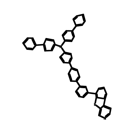 c1ccc(-c2ccc(N(c3ccc(-c4ccccc4)cc3)c3ccc(-c4ccc(-c5cccc(-c6cccc7c6sc6cnccc67)c5)cc4)cc3)cc2)cc1